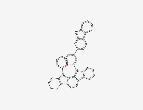 C1=Cc2c(c3ccc4c5ccccc5n(-c5cccc(-c6ccc7c(c6)oc6ccccc67)c5)c4c3n2-c2ccccc2)CC1